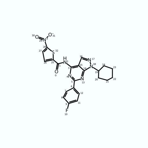 O=C(Nc1nc(-c2ccc(F)cc2)nc2c1cnn2C1CCCCC1)c1ccc([N+](=O)[O-])s1